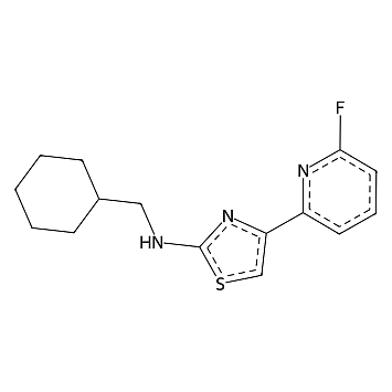 Fc1cccc(-c2csc(NCC3CCCCC3)n2)n1